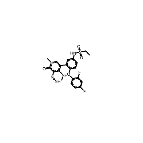 CCS(=O)(=O)Nc1ccc(Oc2ccc(F)cc2F)c(-c2cn(C)c(=O)c(N=N)c2NC)c1